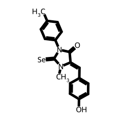 Cc1ccc(N2C(=O)C(=Cc3ccc(O)cc3)N(C)C2=[Se])cc1